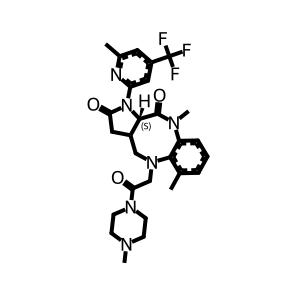 Cc1cc(C(F)(F)F)cc(N2C(=O)CC3CN(CC(=O)N4CCN(C)CC4)c4c(C)cccc4N(C)C(=O)[C@H]32)n1